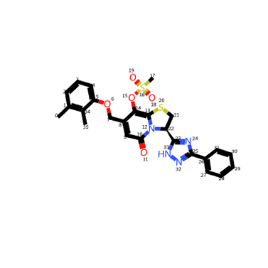 Cc1cccc(OCc2cc(=O)n3c(c2OS(C)(=O)=O)SC[C@H]3c2nc(-c3ccccc3)n[nH]2)c1C